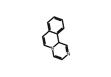 C1=CN2C=Cc3ccccc3C2C=N1